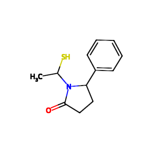 CC(S)N1C(=O)CCC1c1ccccc1